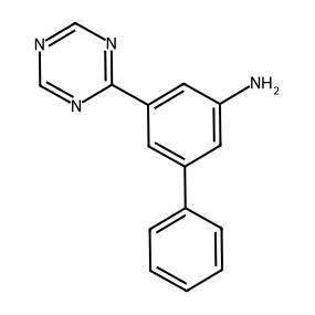 Nc1cc(-c2ccccc2)cc(-c2ncncn2)c1